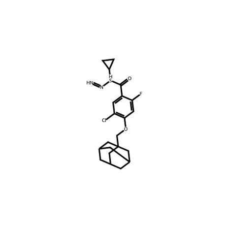 N=N[SH](C(=O)c1cc(Cl)c(OCC23CC4CC(CC(C4)C2)C3)cc1F)C1CC1